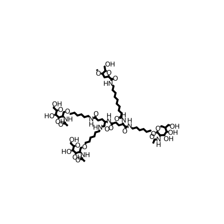 COC1CC(C(=O)NCCCCCCCCCC(=O)NC(CCC(=O)NC(CCC(=O)NCCCCCCOC2OC(CO)C(O)C(O)C2NC(C)=O)C(=O)NCCCCCCOC2OC(CO)C(O)C(O)C2NC(C)=O)C(=O)NCCCCCCOC2OCC(CO)C(O)C(O)C2NC(C)=O)OC1CO